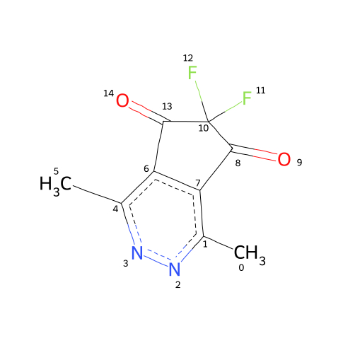 Cc1nnc(C)c2c1C(=O)C(F)(F)C2=O